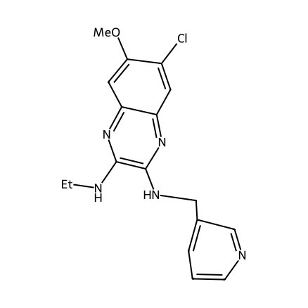 CCNc1nc2cc(OC)c(Cl)cc2nc1NCc1cccnc1